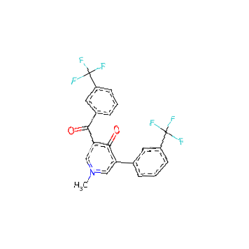 Cn1cc(C(=O)c2cccc(C(F)(F)F)c2)c(=O)c(-c2cccc(C(F)(F)F)c2)c1